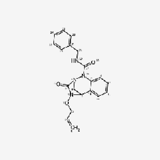 C=CCON1C(=O)N2CC1c1ccccc1N2C(=O)NCc1ccccc1